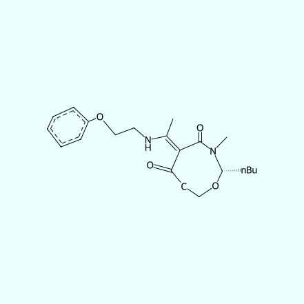 CCCC[C@@H]1OCCC(=O)/C(=C(/C)NCCOc2ccccc2)C(=O)N1C